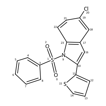 O=S(=O)(c1ccccc1)n1c(-c2cccs2)cc2cc(Cl)ccc21